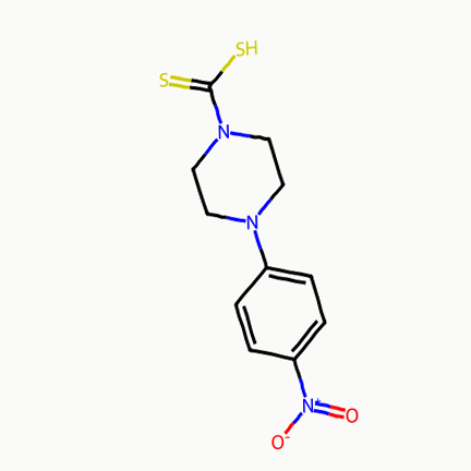 O=[N+]([O-])c1ccc(N2CCN(C(=S)S)CC2)cc1